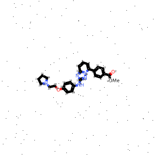 COC(=O)c1ccc(-c2cccc3nc(Nc4ccc(OCCN5CCCC5)cc4)nn23)cc1